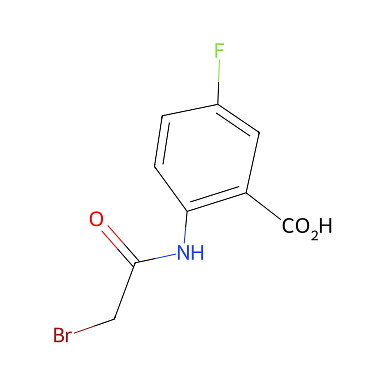 O=C(CBr)Nc1ccc(F)cc1C(=O)O